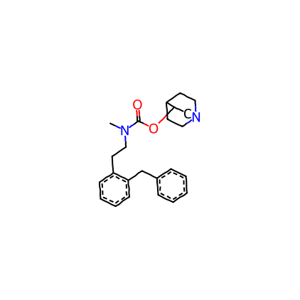 CN(CCc1ccccc1Cc1ccccc1)C(=O)OC1CN2CCC1CC2